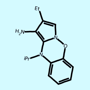 CCc1cn2c(c1N)N(C(C)C)c1ccccc1O2